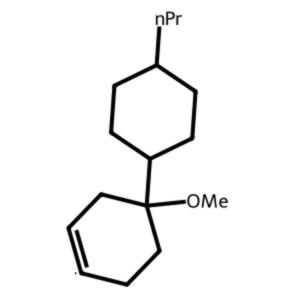 CCCC1CCC(C2(OC)CC=[C]CC2)CC1